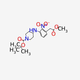 COC(=O)Cc1cccc(NC2CCN(C(=O)OC(C)(C)C)CC2)c1[N+](=O)[O-]